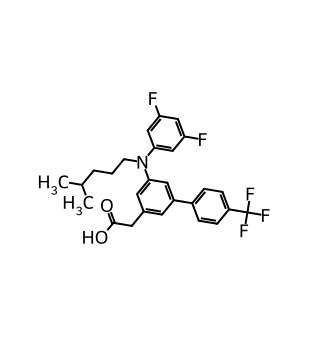 CC(C)CCCN(c1cc(F)cc(F)c1)c1cc(CC(=O)O)cc(-c2ccc(C(F)(F)F)cc2)c1